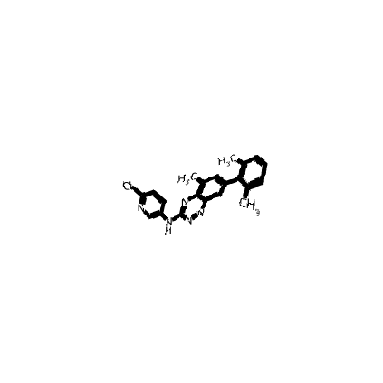 Cc1cccc(C)c1-c1cc(C)c2nc(Nc3ccc(Cl)nc3)nnc2c1